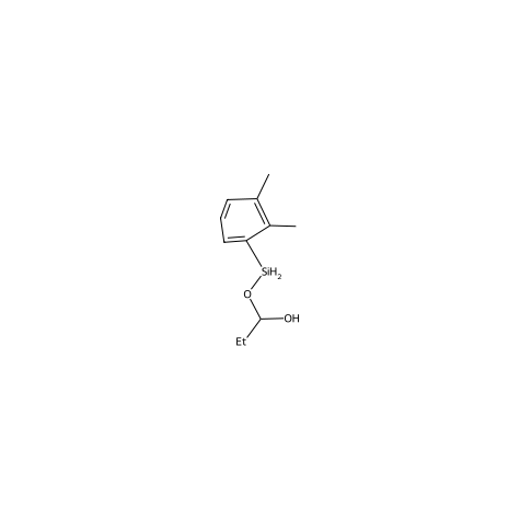 CCC(O)O[SiH2]c1cccc(C)c1C